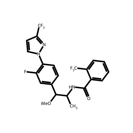 COC(c1ccc(-n2ccc(C(F)(F)F)n2)c(F)c1)C(C)NC(=O)c1ccccc1C(F)(F)F